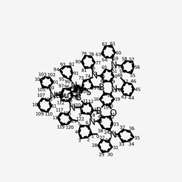 Cc1ccccc1N1c2cc3c(cc2B2c4cc5c(cc4Oc4cc(N(c6ccccc6)c6ccccc6)cc1c42)N(c1ccccc1C)c1cc(N(c2ccccc2)c2ccccc2)cc2c1B5c1sc(C(C)(C)C)cc1N2c1ccccc1)B1c2sc(C(C)(C)C)cc2N(c2ccccc2)c2cc(N(c4ccccc4)c4ccccc4)cc(c21)N3c1ccccc1C